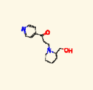 O=C(CCN1CCCCC1CO)c1ccncc1